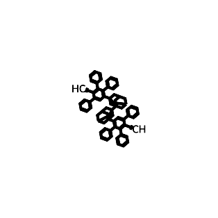 C#Cc1c(-c2ccccc2)cc(C23CC4CC(C2)CC(C25CC6CC(CC(c7cc(-c8ccccc8)c(C#C)c(-c8ccccc8)c7-c7ccccc7)(C6)C2)C5)(C4)C3)c(-c2ccccc2)c1-c1ccccc1